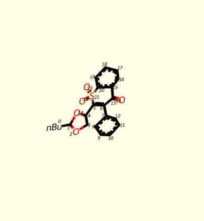 CCCCC1OCC(C2=C(c3ccccc3)C(=O)c3ccccc3S2(=O)=O)O1